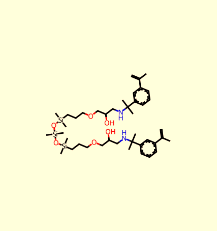 C=C(C)c1cccc(C(C)(C)NCC(O)COCCC[Si](C)(C)O[Si](C)(C)O[Si](C)(C)CCCOCC(O)CNC(C)(C)c2cccc(C(=C)C)c2)c1